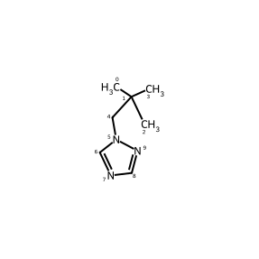 CC(C)(C)Cn1cncn1